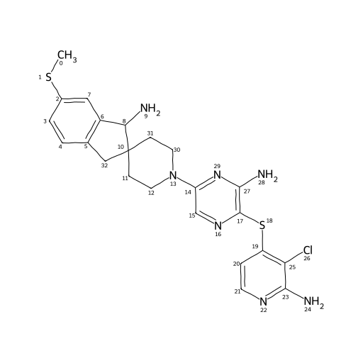 CSc1ccc2c(c1)C(N)C1(CCN(c3cnc(Sc4ccnc(N)c4Cl)c(N)n3)CC1)C2